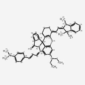 CCN(CC)c1ccc2c(c1)OC1=C(CCC/C1=C\C=C1\N(C)c3ccccc3C1(C)C)C21c2ccccc2C(=O)N1/N=C\C=C\c1ccc(N(C)C)cc1